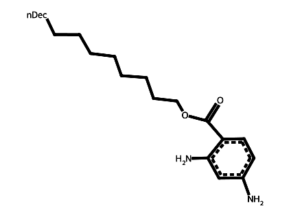 CCCCCCCCCCCCCCCCCCOC(=O)c1ccc(N)cc1N